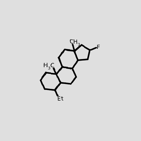 CCC1CCCC2(C)C1CCC1C3CC(F)CC3(C)CCC12